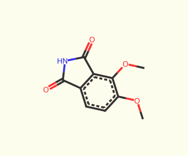 COc1ccc2c(c1OC)C(=O)NC2=O